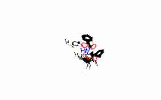 CCO[C@@H](C(=O)N[C@@H](Cc1coc2ccccc12)B1O[C@@H]2C[C@@H]3C[C@@H](C3(C)C)[C@]2(C)O1)c1ccccc1